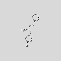 CC(COc1ccccc1)Cc1ccc(O)cc1